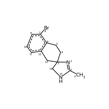 CC1=NC2(CCc3c(Br)cccc3C2)CN1